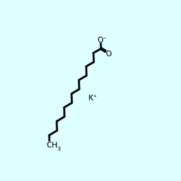 CCCCCCCCCCCCCCC(=O)[O-].[K+]